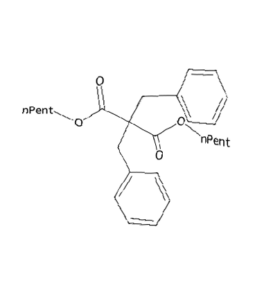 CCCCCOC(=O)C(Cc1ccccc1)(Cc1ccccc1)C(=O)OCCCCC